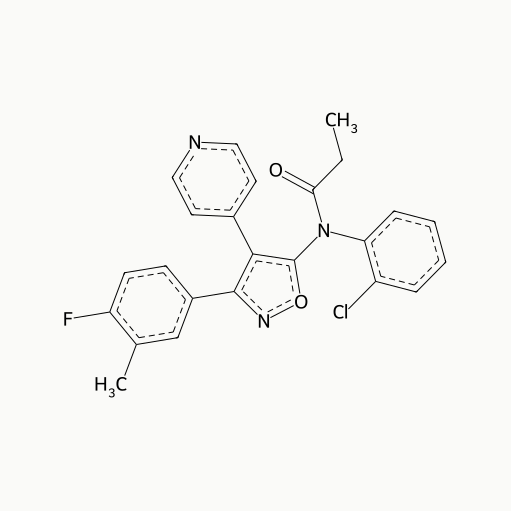 CCC(=O)N(c1ccccc1Cl)c1onc(-c2ccc(F)c(C)c2)c1-c1ccncc1